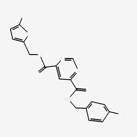 CCc1ccc(CNC(=O)c2cc(C(=O)N[C@@H](C)c3ccc(C)cc3)ncn2)s1